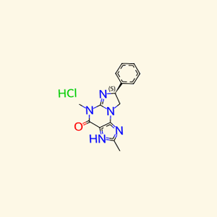 Cc1nc2c([nH]1)C(=O)N(C)C1=N[C@@H](c3ccccc3)CN12.Cl